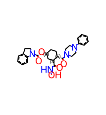 O=C(NO)[C@H]1C[C@H](OC(=O)N2CCc3ccccc32)CC[C@@H]1C(=O)N1CCN(c2ccccc2)CC1